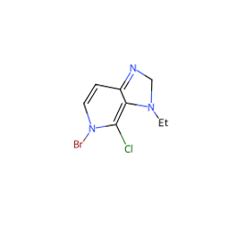 CCN1CN=C2C=CN(Br)C(Cl)=C21